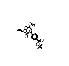 C=CCOC(=O)N(CC(=O)O)c1ccc(C(=O)OC(C)(C)C)cc1